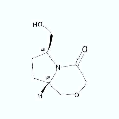 O=C1COC[C@@H]2CC[C@@H](CO)N12